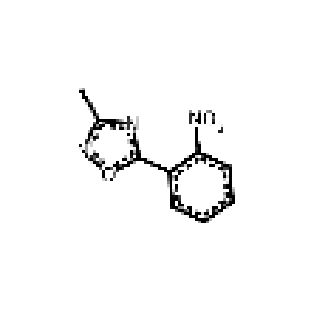 Cc1noc(-c2ccccc2[N+](=O)[O-])n1